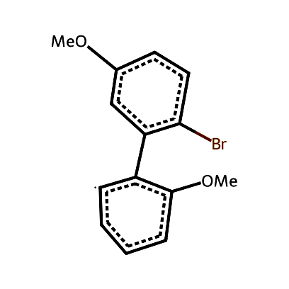 COc1ccc(Br)c(-c2[c]cccc2OC)c1